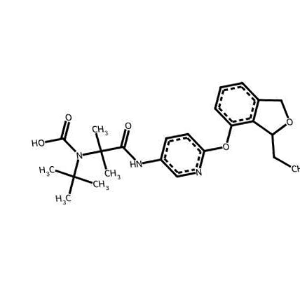 CCC1OCc2cccc(Oc3ccc(NC(=O)C(C)(C)N(C(=O)O)C(C)(C)C)cn3)c21